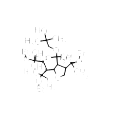 CCOC(C)(C)CC(C1OCC(C(C)(C)OCC)C1C(C)(C)OCC(C)(C)O)C(C)(C)OCC